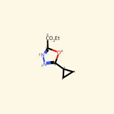 CCOC(=O)c1nnc(C2CC2)o1